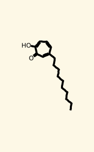 CCCCCCCCCCc1cccc(O)c(=O)c1